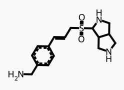 NCc1ccc(C=CCS(=O)(=O)C2NCC3CNCC32)cc1